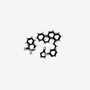 O=C1CCCN1c1cccc(CCc2cccc3ccc4c(c23)CCC2=C4C=CCC2)c1.O=c1[nH]ncc2ccccc12